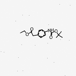 CCOC(=O)Cc1ccc(NC(=O)OC(C)(C)C)cc1